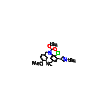 COc1ccc(CN(C(=O)OC(C)(C)C)c2cc(C#N)cc(C3CN(C(C)(C)C)C3)c2Cl)cc1